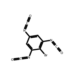 O=C=Nc1cc(N=C=O)c(Br)c(N=C=O)c1